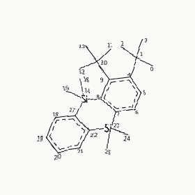 CC(C)(C)c1ccc2c(c1C(C)(C)C)[Si](C)(C)c1ccccc1[Si]2(C)C